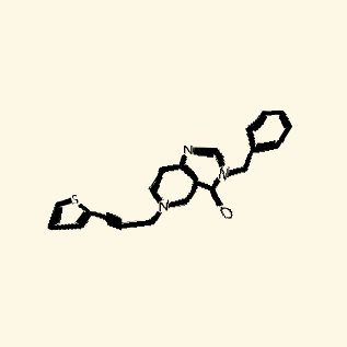 O=c1c2c(ncn1Cc1ccccc1)CCN(CC#Cc1cccs1)C2